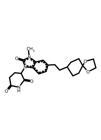 Cn1c(=O)n(C2CCC(=O)NC2=O)c2ccc(CCC3CCC4(CC3)OCCO4)cc21